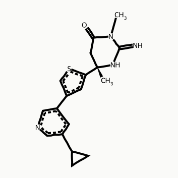 CN1C(=N)N[C@](C)(c2cc(-c3cncc(C4CC4)c3)cs2)CC1=O